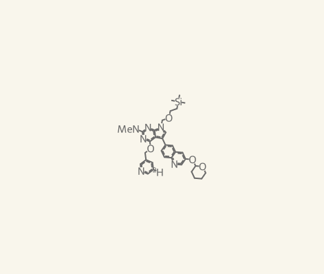 [2H]c1cncc(COc2nc(NC)nc3c2c(-c2ccc4ncc(OC5CCCCO5)cc4c2)cn3COCC[Si](C)(C)C)c1